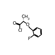 C[C@H](OCc1ccccc1F)C(=O)Cl